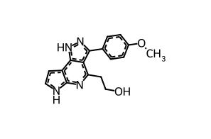 COc1ccc(-c2n[nH]c3c2c(CCO)nc2[nH]ccc23)cc1